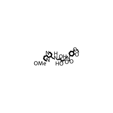 COc1ccc2nccc(CNC[C@H](O)[C@@H](O)[C@H]3CN(c4ccc5c(c4)OCCO5)C(=O)O3)c2n1